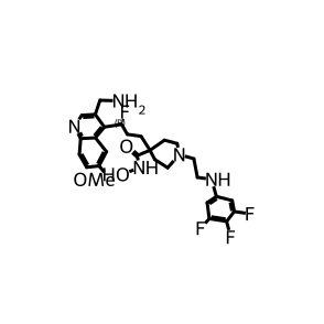 COc1ccc2ncc(CN)c([C@H](F)CCC3(C(=O)NO)CCN(CCNc4cc(F)c(F)c(F)c4)CC3)c2c1